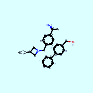 CC(=N)c1ccc(CN2CC(C(=O)O)C2)cc1.OCc1ccc(-c2ccccc2)cc1